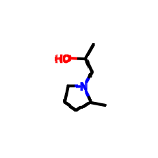 CC(O)CN1CCCC1C